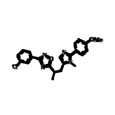 COc1ccc(-c2ncc(CC(C)c3nc(-c4cccc(Cl)c4)no3)n2C)cc1